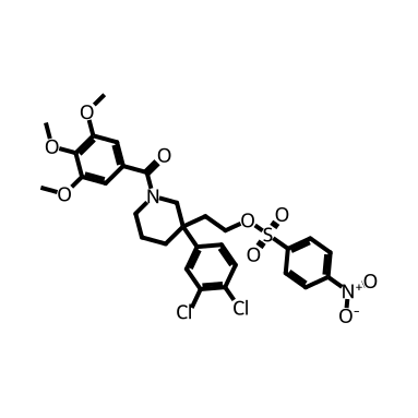 COc1cc(C(=O)N2CCCC(CCOS(=O)(=O)c3ccc([N+](=O)[O-])cc3)(c3ccc(Cl)c(Cl)c3)C2)cc(OC)c1OC